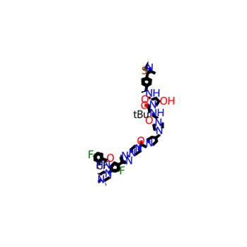 Cc1ncsc1-c1ccc([C@H](C)NC(=O)[C@@H]2C[C@@H](O)CN2C(=O)[C@@H](NC(=O)CN2CCN(CC3CCN(CC(=O)N4CCN(c5ncc(-c6cc(NC(=O)c7ccc(F)cc7C(F)(F)F)c(N7C[C@@H](C)N(C)[C@@H](C)C7)cc6F)cn5)CC4)CC3)CC2)C(C)(C)C)cc1